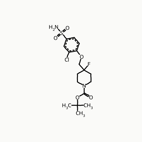 CC(C)(C)OC(=O)N1CCC(F)(COc2ccc(S(N)(=O)=O)cc2Cl)CC1